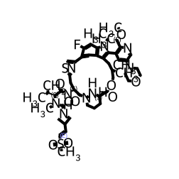 CCn1c(-c2cc(N3CCOCC3)cnc2[C@H](C)OC)c2c3cc(c(F)cc31)-c1csc(n1)C[C@H](NC(=O)[C@H](C(C)C)N(C)C(=O)N1CC(/C=C/S(C)(=O)=O)C1)C(=O)N1CCC[C@H](N1)C(=O)OCC(C)(C)C2